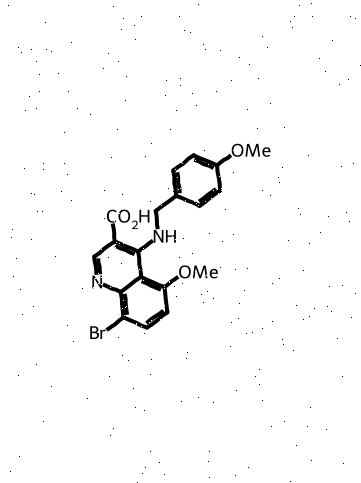 COc1ccc(CNc2c(C(=O)O)cnc3c(Br)ccc(OC)c23)cc1